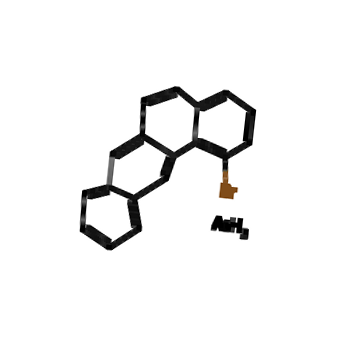 Brc1cccc2ccc3cc4ccccc4cc3c12.[AsH3]